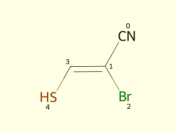 N#CC(Br)=CS